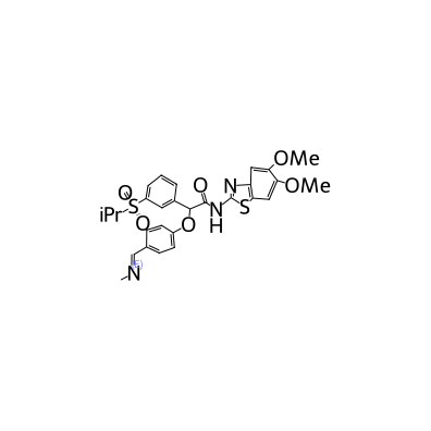 C/N=C/c1ccc(OC(C(=O)Nc2nc3cc(OC)c(OC)cc3s2)c2cccc(S(=O)(=O)C(C)C)c2)cc1